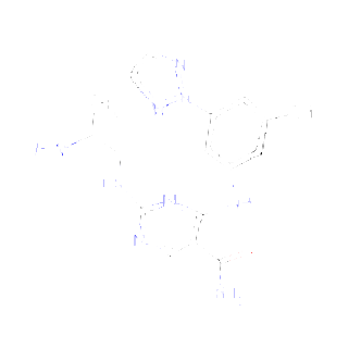 Cc1cc(Nc2nc(NCC(C)N)ncc2C(N)=O)cc(-n2nccn2)c1